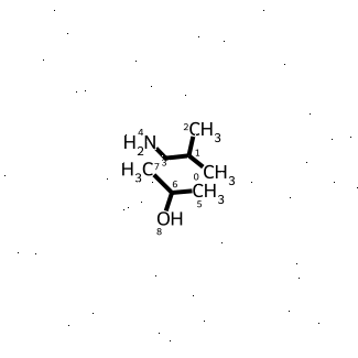 CC(C)CN.CC(C)O